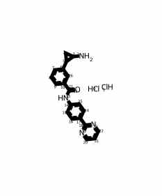 Cl.Cl.NC1CC1c1cccc(C(=O)Nc2ccc(-c3ncccn3)cc2)c1